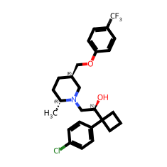 C[C@@H]1CC[C@@H](COc2ccc(C(F)(F)F)cc2)CN1C[C@@H](O)C1(c2ccc(Cl)cc2)CCC1